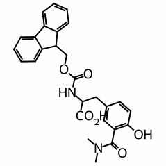 CN(C)C(=O)c1cc(CC(NC(=O)OCC2c3ccccc3-c3ccccc32)C(=O)O)ccc1O